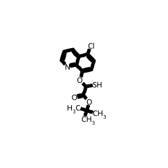 CC(C)(C)OC(=O)C(S)Oc1ccc(Cl)c2cccnc12